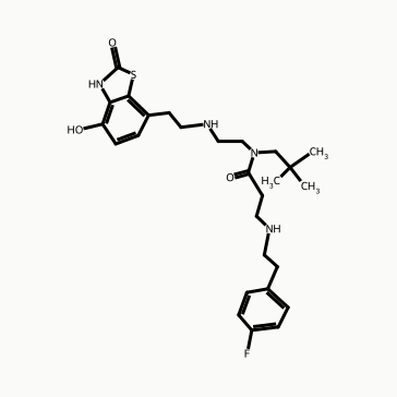 CC(C)(C)CN(CCNCCc1ccc(O)c2[nH]c(=O)sc12)C(=O)CCNCCc1ccc(F)cc1